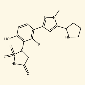 Cn1nc(-c2ccc(O)c(N3CC(=O)NS3(=O)=O)c2F)cc1C1CCCN1